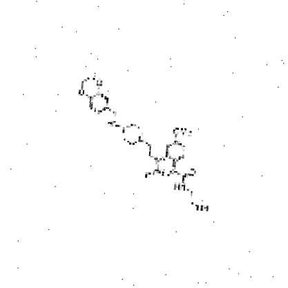 COc1ccc2c(C(=O)NCCO)cc(=O)n(CCN3CCC(NCc4ccc5c(c4)OCCO5)CC3)c2c1